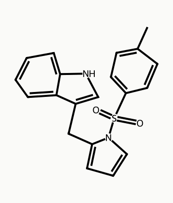 Cc1ccc(S(=O)(=O)n2cccc2Cc2c[nH]c3ccccc23)cc1